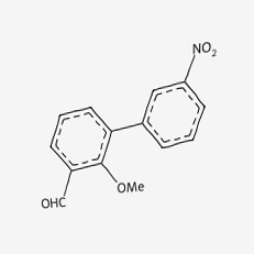 COc1c(C=O)cccc1-c1cccc([N+](=O)[O-])c1